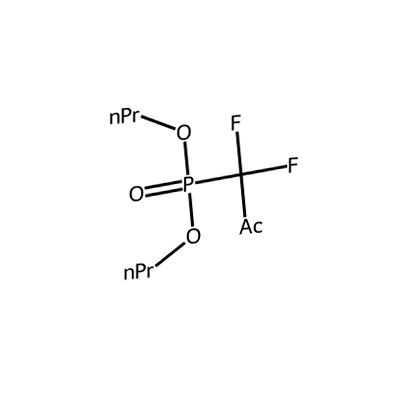 CCCOP(=O)(OCCC)C(F)(F)C(C)=O